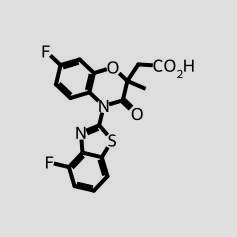 CC1(CC(=O)O)Oc2cc(F)ccc2N(c2nc3c(F)cccc3s2)C1=O